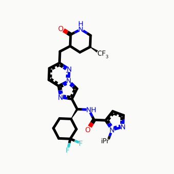 CC(C)n1nccc1C(=O)NC(c1cn2nc(CC3C[C@H](C(F)(F)F)CNC3=O)ccc2n1)[C@@H]1CCCC(F)(F)C1